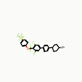 CCCC1CCC(c2ccc(-c3cc(F)c(C(F)(F)Oc4ccc(S(F)(F)(F)(F)F)cc4)c(F)c3)cc2)CC1